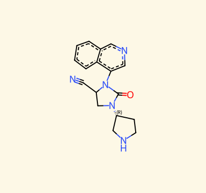 N#CC1CN([C@@H]2CCNC2)C(=O)N1c1cncc2ccccc12